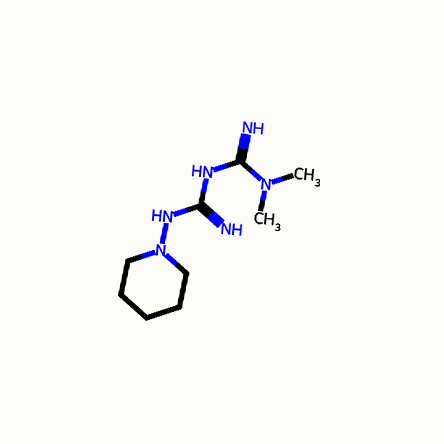 CN(C)C(=N)NC(=N)NN1CCCCC1